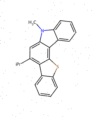 CC(C)c1cc2c(c3ccccc3n2C)c2sc3ccccc3c12